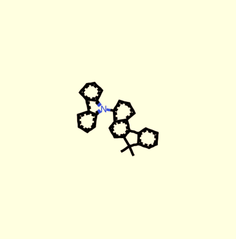 CC1(C)c2ccccc2-c2c1ccc1c(-n3c4ccccc4c4ccccc43)cccc21